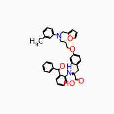 Cc1cccc(N(CCCOc2ccc(C[C@H](Nc3ccccc3C(=O)c3ccccc3)C(=O)O)cc2)Cc2ccco2)c1